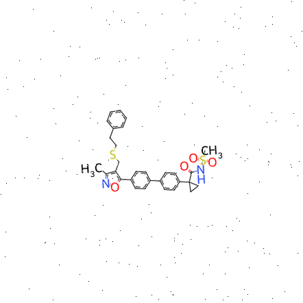 Cc1noc(-c2ccc(-c3ccc(C4(C(=O)NS(C)(=O)=O)CC4)cc3)cc2)c1CSCCc1ccccc1